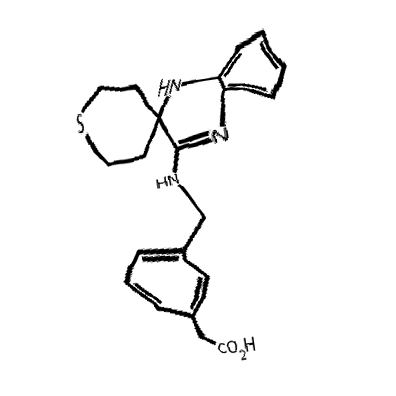 O=C(O)c1cccc(CNC2=Nc3ccccc3NC23CCSCC3)c1